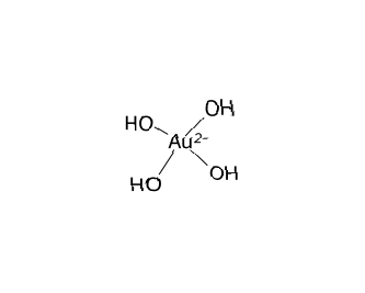 [OH][Au-2]([OH])([OH])[OH]